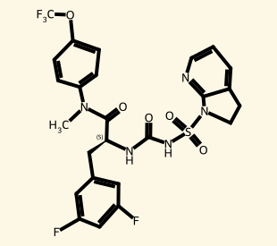 CN(C(=O)[C@H](Cc1cc(F)cc(F)c1)NC(=O)NS(=O)(=O)N1CCc2cccnc21)c1ccc(OC(F)(F)F)cc1